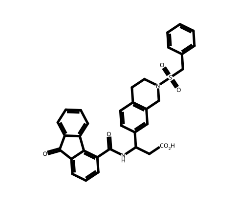 O=C(O)CC(NC(=O)c1cccc2c1-c1ccccc1C2=O)c1ccc2c(c1)CN(S(=O)(=O)Cc1ccccc1)CC2